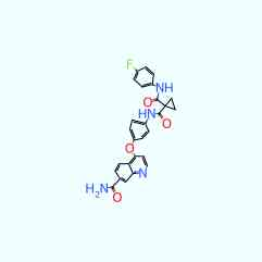 NC(=O)c1ccc2c(Oc3ccc(NC(=O)C4(C(=O)Nc5ccc(F)cc5)CC4)cc3)ccnc2c1